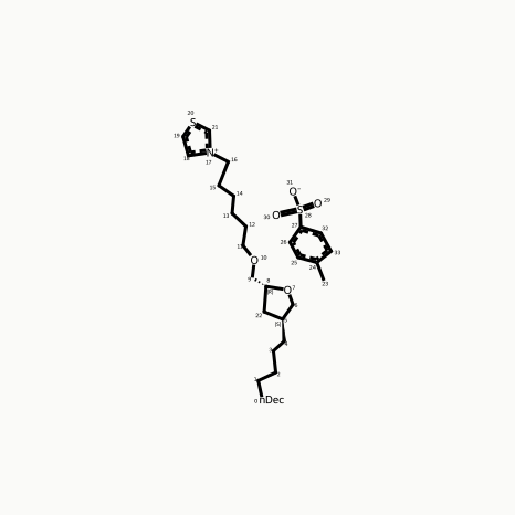 CCCCCCCCCCCCCC[C@@H]1CO[C@@H](COCCCCCC[n+]2ccsc2)C1.Cc1ccc(S(=O)(=O)[O-])cc1